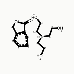 O=C1OCc2ccccc21.OCCN(CCO)CCO